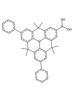 CC1(C)c2cc(B(O)O)cc3c2N2c4c1cc(-c1ccccc1)cc4C(C)(C)c1cc(-c4ccccc4)cc(c12)C3(C)C